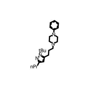 CCCc1cc(CCCN2CCN(c3ccccc3)CC2)n(C(C)(C)C)n1